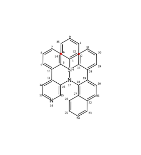 c1ccc([Si]23c4ccccc4-c4ccncc4N2c2c(ccc4ccccc24)-c2ccccc23)cc1